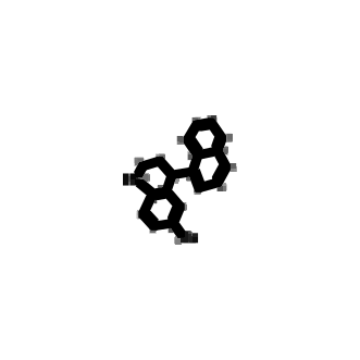 CCC(C)c1ccc2c(c1)C(c1cccc3ccccc13)CCN2